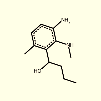 CCCC(O)c1c(C)ccc(N)c1NC